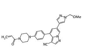 C=CC(=O)N1CCN(c2ccc(-c3cc(-c4cnn(COC)c4)cn4ncc(C#N)c34)cc2)CC1